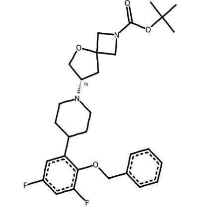 CC(C)(C)OC(=O)N1CC2(C[C@H](N3CCC(c4cc(F)cc(F)c4OCc4ccccc4)CC3)CO2)C1